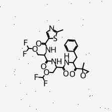 Cc1ncc(C(=O)NC(COC(F)F)C(=O)NC(COC(F)F)C(=O)NC(Cc2ccccc2)C(=O)C2(C)CO2)s1